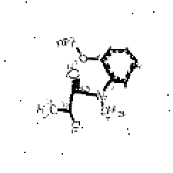 CCCOc1ccccc1N(C)C(=O)C(C)Cl